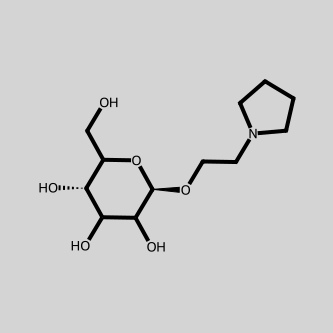 OCC1O[C@@H](OCCN2CCCC2)C(O)C(O)[C@@H]1O